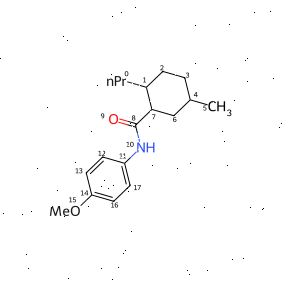 CCCC1CCC(C)CC1C(=O)Nc1ccc(OC)cc1